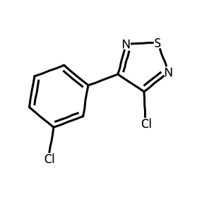 Clc1cccc(-c2nsnc2Cl)c1